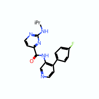 CC(C)Nc1nccc(C(=O)Nc2cnccc2-c2ccc(F)cc2)n1